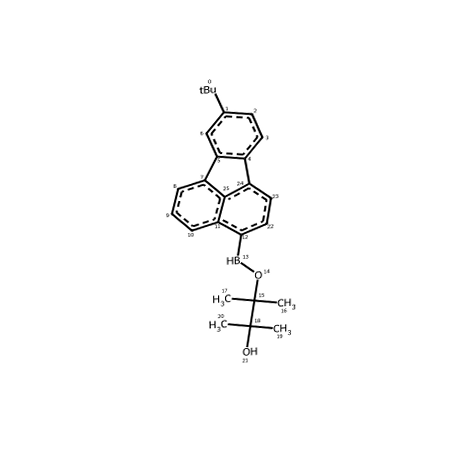 CC(C)(C)c1ccc2c(c1)-c1cccc3c(BOC(C)(C)C(C)(C)O)ccc-2c13